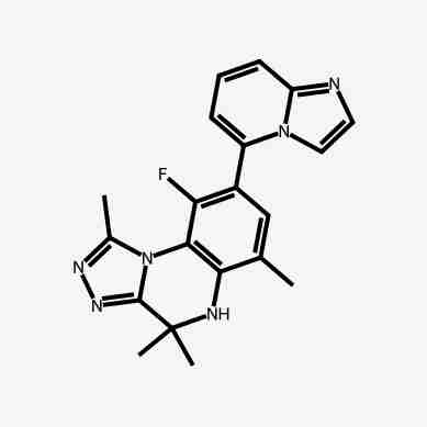 Cc1cc(-c2cccc3nccn23)c(F)c2c1NC(C)(C)c1nnc(C)n1-2